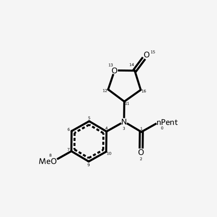 CCCCCC(=O)N(c1ccc(OC)cc1)C1COC(=O)C1